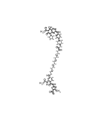 CC(=O)Nc1cc(NCCOCCOCCOCCOCCNC(=O)CN2CCN(c3ccc(Nc4ncc5c(C)c(C(C)=O)c(=O)n(C6CCCC6)c5n4)nc3)CC2)ccc1C(=O)Nc1nc(C)c([N+](=O)[O-])s1